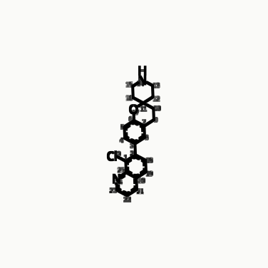 Clc1c(-c2ccc3c(c2)CCC2(CCNCC2)O3)ccc2cccnc12